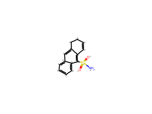 NS(=O)(=O)c1c2c(cc3ccccc13)CCC=C2